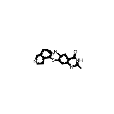 Cc1nc2cc(Sc3cccc4cnccc34)c([N+](=O)[O-])cc2c(=O)[nH]1